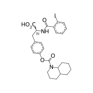 O=C(N[C@@H](Cc1ccc(OC(=O)N2CCCC3CCCCC32)cc1)C(=O)O)c1ccccc1I